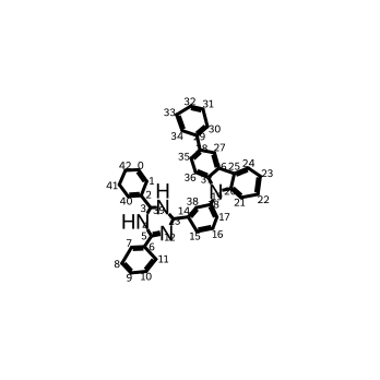 C1=CC(C2NC(c3ccccc3)=NC(c3cccc(-n4c5ccccc5c5cc(-c6ccccc6)ccc54)c3)N2)=CCC1